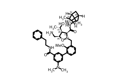 COc1c(CN2O[C@@H](CN)[C@@H]([C@H](C)O)[C@H]2C(=O)N[C@H]2C[C@H]3C[C@@H]([C@@H]2C)C3(C)C)cccc1-c1cc(C(=O)NCCc2ccccc2)cc(N(C)C)c1